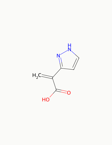 C=C(C(=O)O)c1cc[nH]n1